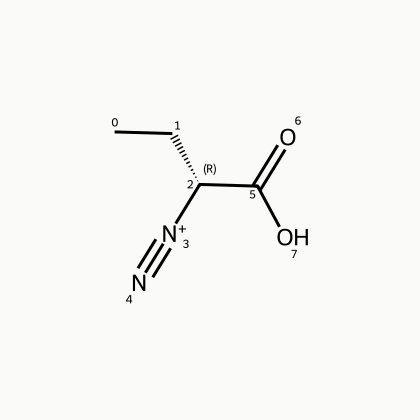 CC[C@@H]([N+]#N)C(=O)O